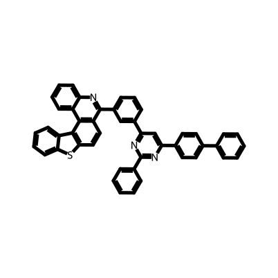 c1ccc(-c2ccc(-c3cc(-c4cccc(-c5nc6ccccc6c6c5ccc5sc7ccccc7c56)c4)nc(-c4ccccc4)n3)cc2)cc1